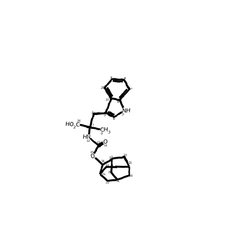 CC(Cc1c[nH]c2ccccc12)(NC(=O)OC1C2CC3CC(C2)CC1C3)C(=O)O